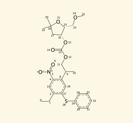 CCc1cc([N+](=O)[O-])c(C(C)COC(=O)O[C@@H]2CC(C)(C)O[C@@H]2COC)cc1Sc1ccccc1